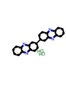 Cl.Cl.c1ccc2nc3cc(-c4ccc5nc6ccccc6nc5c4)ccc3nc2c1